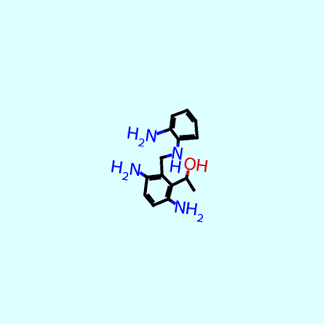 CC(O)c1c(N)ccc(N)c1CNc1ccccc1N